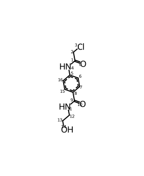 O=C(CCl)Nc1ccc(C(=O)NCCO)cc1